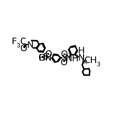 C[C@@H](CC1CCCCC1)NCc1ccccc1NS(=O)(=O)c1ccc(NS(=O)(=O)c2ccc3c(c2)CN(C(=O)C(F)(F)F)CC3)cc1